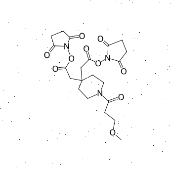 COCCC(=O)N1CCC(CC(=O)ON2C(=O)CCC2=O)(CC(=O)ON2C(=O)CCC2=O)CC1